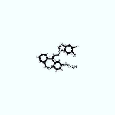 Cc1cc2ncn(CC=C3c4ccccc4COc4ccc(OC(=O)O)cc43)c2cc1C